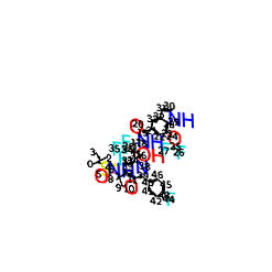 CC(C)(C)[S+]([O-])N[C@]1(C)COc2c1cc([C@](O)(CNC(=O)c1cc(OC(F)F)c3[nH]ccc3c1)C(F)(F)F)nc2-c1ccc(F)cc1